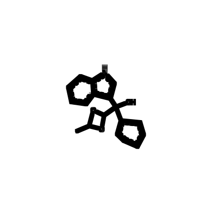 CC1OC(C(O)(c2ccccc2)c2c[nH]c3ccccc23)O1